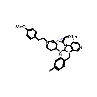 COc1ccc(CCN2CCC(NC3N(Cc4ccc(F)cc4)c4cnccc4N3/C(=C\C(=O)O)C(=O)O)CC2)cc1